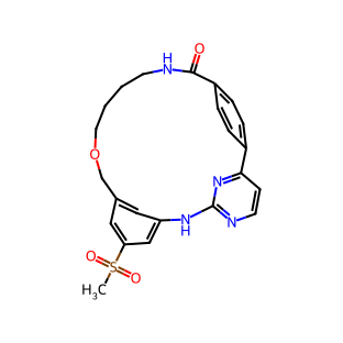 CS(=O)(=O)c1cc2cc(c1)Nc1nccc(n1)-c1ccc(cc1)C(=O)NCCCCOC2